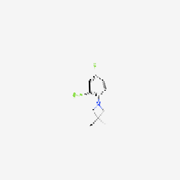 CC1(C)CN(c2ccc(F)cc2F)C1